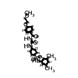 COCCOc1ccc(C(=O)NC(=S)Nc2ccc(S(=O)(=O)Nc3cc(C)cc(C)c3)cc2)cc1